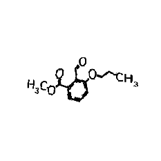 CCCOc1cccc(C(=O)OC)c1C=O